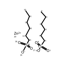 CCCCCCS(=O)(=O)[O-].CCCCCCS(=O)(=O)[O-].[Zn+2]